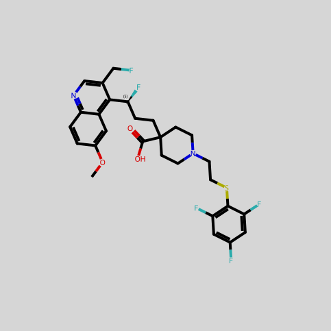 COc1ccc2ncc(CF)c([C@@H](F)CCC3(C(=O)O)CCN(CCSc4c(F)cc(F)cc4F)CC3)c2c1